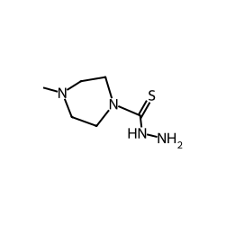 CN1CCN(C(=S)NN)CC1